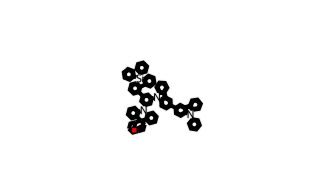 c1ccc(-n2c3ccccc3c3cc(-c4ccc5c(c4)c4ccccc4n5-c4cc(-c5cccc6c5-c5ccccc5[Si]6(c5ccccc5)c5ccccc5)cc(N5c6ccccc6C6(c7ccccc75)C5CC7CC(C5)CC6C7)c4)ccc32)cc1